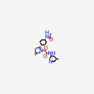 CC(=O)Nc1ccc([C@H]2CC[C@H](C)CN2C(=O)C(=O)Nc2cncc(C)c2)cc1